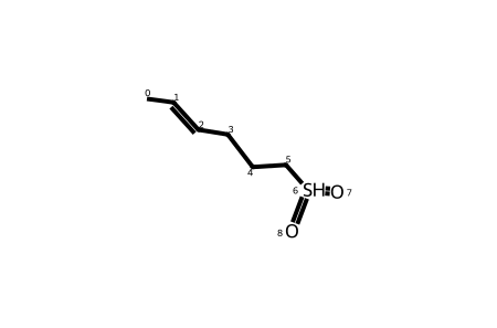 CC=CCCC[SH](=O)=O